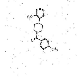 Cc1ccc(C(=O)N2CCC(c3ncccc3C(F)(F)F)CC2)cc1